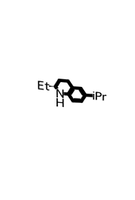 CC[C@@H]1CCc2cc(C(C)C)ccc2N1